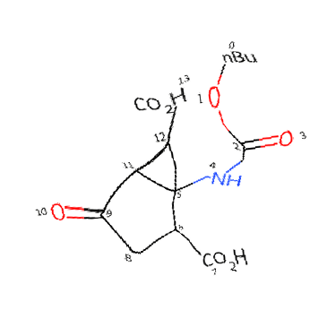 CCCCOC(=O)NC12C(C(=O)O)CC(=O)C1C2C(=O)O